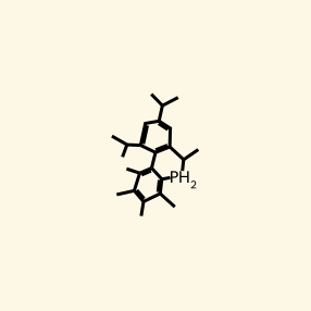 Cc1c(C)c(C)c(-c2c(C(C)C)cc(C(C)C)cc2C(C)C)c(P)c1C